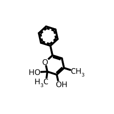 CC1=C(O)C(C)(O)OC(c2ccccc2)=C1